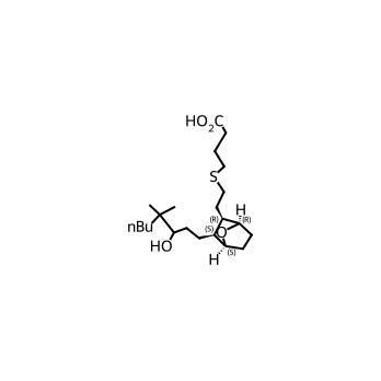 CCCCC(C)(C)C(O)CC[C@H]1[C@@H](CCSCCCC(=O)O)[C@H]2CC[C@@H]1O2